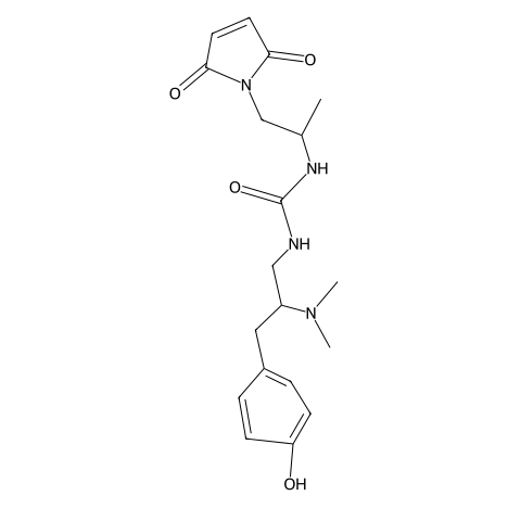 CC(CN1C(=O)C=CC1=O)NC(=O)NCC(Cc1ccc(O)cc1)N(C)C